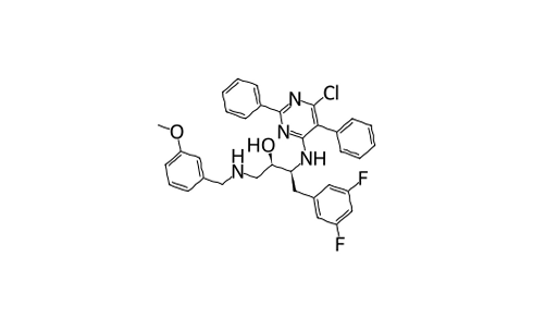 COc1cccc(CNC[C@@H](O)[C@H](Cc2cc(F)cc(F)c2)Nc2nc(-c3ccccc3)nc(Cl)c2-c2ccccc2)c1